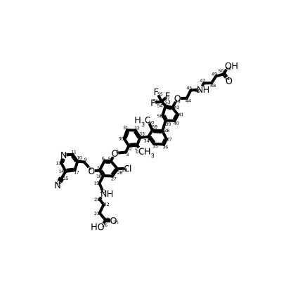 Cc1c(COc2cc(OCc3cncc(C#N)c3)c(CNCCCC(=O)O)cc2Cl)cccc1-c1cccc(-c2ccc(OCCNCCCC(=O)O)c(C(F)(F)F)c2)c1C